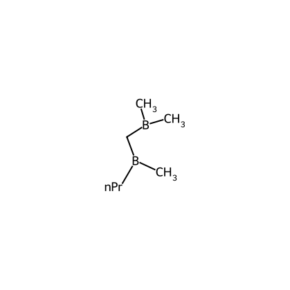 CCCB(C)CB(C)C